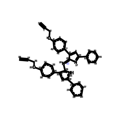 C#CCOc1ccc(C2=CC(c3ccccc3)=N/C2=N\c2[nH]c(-c3ccccc3)cc2-c2ccc(OCC#C)cc2)cc1